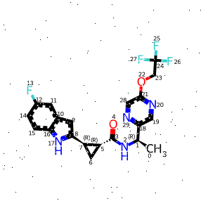 C[C@@H](NC(=O)[C@@H]1C[C@H]1c1cc2cc(F)ccc2[nH]1)c1cnc(OCC(F)(F)F)cn1